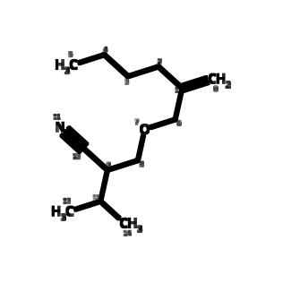 C=C(CCCC)COCC(C#N)C(C)C